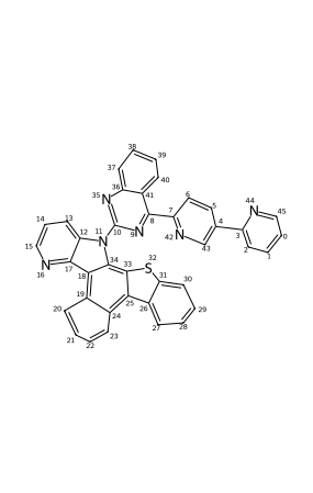 c1ccc(-c2ccc(-c3nc(-n4c5cccnc5c5c6ccccc6c6c7ccccc7sc6c54)nc4ccccc34)nc2)nc1